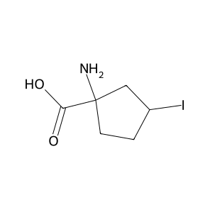 NC1(C(=O)O)CCC(I)C1